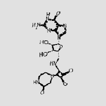 Nc1nc2c(ncn2[C@@H]2O[C@H](CNc3c(N4CCNC(=O)C4)c(=O)c3=O)[C@@H](O)[C@H]2O)c(=O)[nH]1